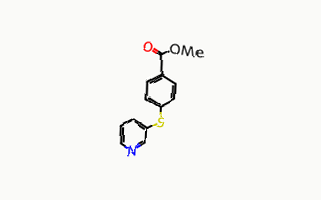 COC(=O)c1ccc(Sc2cccnc2)cc1